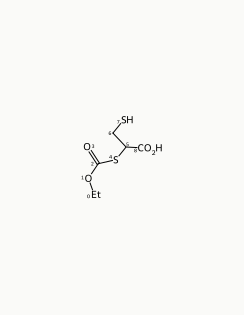 CCOC(=O)SC(CS)C(=O)O